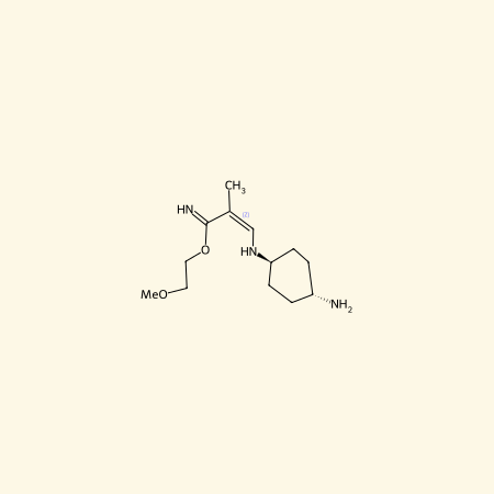 COCCOC(=N)/C(C)=C\N[C@H]1CC[C@H](N)CC1